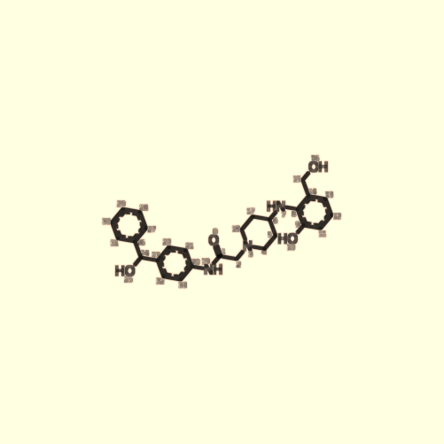 O=C(CN1CCC(Nc2c(O)cccc2CO)CC1)Nc1ccc(C(O)c2ccccc2)cc1